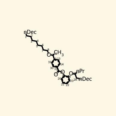 CCCCCCCCCCCCCCCCCCOC(C)c1ccc(C(=O)Oc2ccccc2OC(CCC)CCCCCCCCCCC)cc1